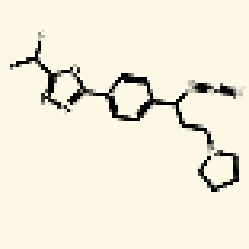 [N-]=[N+]=NC(CCN1CCCC1)c1ccc(-c2nnc(C(F)F)o2)cc1